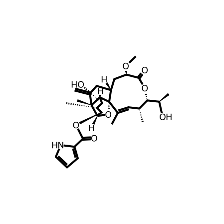 C=C1C[C@@H]2C[C@H](OC)C(=O)O[C@H]([C@@H](C)O)[C@H](C)/C=C(\C)[C@]23O[C@H]2[C@H](OC(=O)c4ccc[nH]4)[C@H](C)[C@@H](O)[C@@H]3[C@@]12C